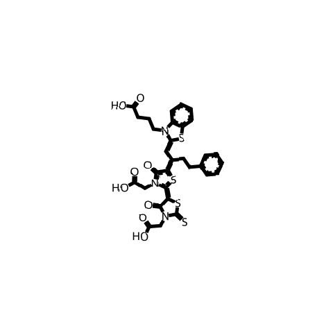 O=C(O)CCCN1/C(=C/C(CCc2ccccc2)=c2/s/c(=C3\SC(=S)N(CC(=O)O)C3=O)n(CC(=O)O)c2=O)Sc2ccccc21